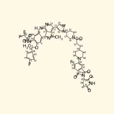 C[C@H](Oc1cc(-c2nn(C)c3c(-c4cnn(C5CCN(C(=O)CCC6CCN(c7cc8c(cc7F)C(=O)N(C7CCC(=O)NC7=O)C8=O)CC6)CC5)c4)cnc(N)c23)ccc1NS(=O)(=O)C(F)F)c1ccc(F)cc1